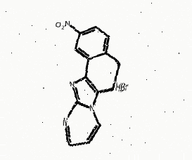 Br.O=[N+]([O-])c1ccc2c(c1)-c1nc3ncccn3c1CC2